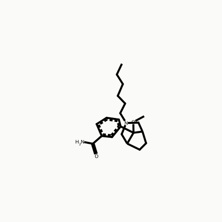 CCCCCCN1CC2CCC(C1)C2(OC)c1cccc(C(N)=O)c1